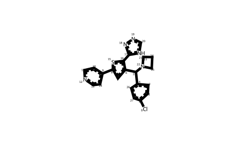 Clc1ccc(C(c2cc(-c3ccncc3)sc2-c2nnc[nH]2)N2CCC2)cc1